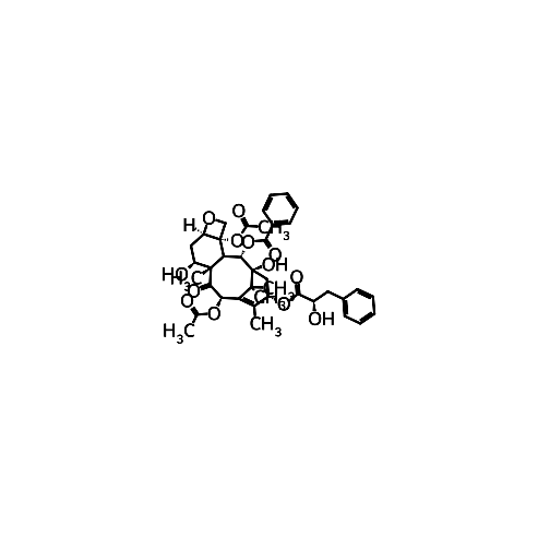 CC(=O)O[C@H]1C(=O)[C@@]2(C)C([C@H](OC(=O)c3ccccc3)[C@]3(O)C[C@H](OC(=O)[C@H](O)Cc4ccccc4)C(C)=C1C3(C)C)[C@]1(OC(C)=O)CO[C@@H]1C[C@@H]2O